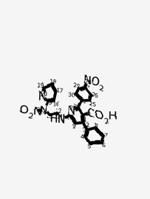 O=C(O)c1c(-c2ccccc2)cc(NCCN(c2ccccn2)[N+](=O)[O-])nc1-c1ccc([N+](=O)[O-])cc1